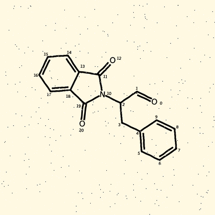 O=[C]C(Cc1ccccc1)N1C(=O)c2ccccc2C1=O